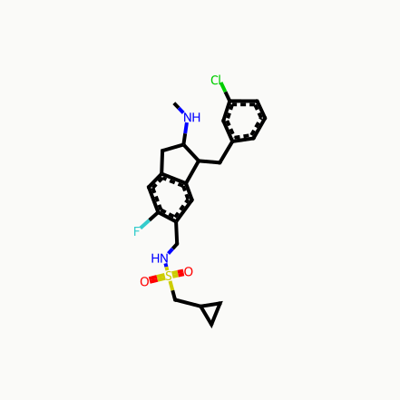 CNC1Cc2cc(F)c(CNS(=O)(=O)CC3CC3)cc2C1Cc1cccc(Cl)c1